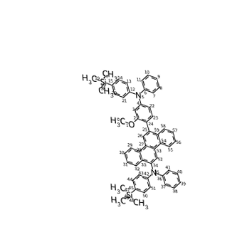 COc1cc(N(c2ccccc2)c2ccc([Si](C)(C)C)cc2)ccc1-c1cc2c3ccccc3c(N(c3ccccc3)c3ccc([Si](C)(C)C)cc3)cc2c2ccccc12